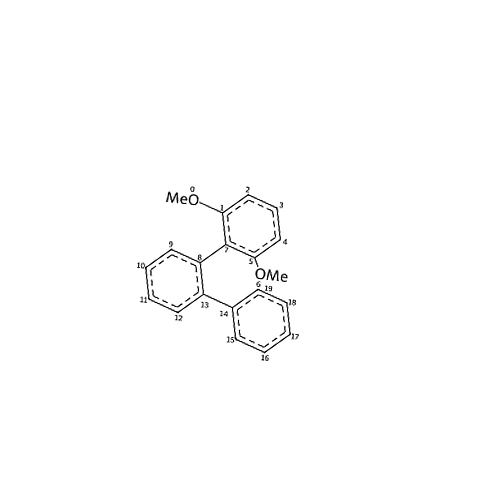 COc1cccc(OC)c1-c1ccccc1-c1ccccc1